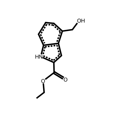 CCOC(=O)c1cc2c(CO)cccc2[nH]1